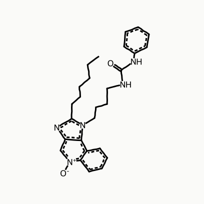 CCCCCCc1nc2c[n+]([O-])c3ccccc3c2n1CCCCNC(=O)Nc1ccccc1